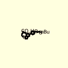 CCCCOCCOc1ccc(-c2cc3c4c(c2)CCN4CCC/C(C(=O)O)=C\3)cc1